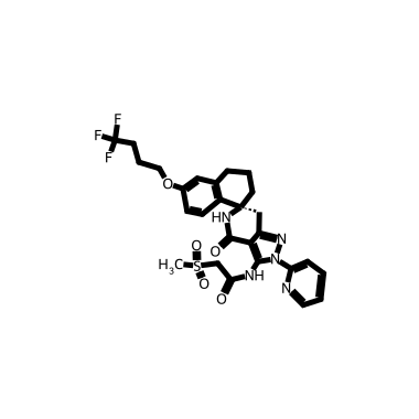 CS(=O)(=O)CC(=O)Nc1c2c(nn1-c1ccccn1)C[C@]1(CCCc3cc(OCCCC(F)(F)F)ccc31)NC2=O